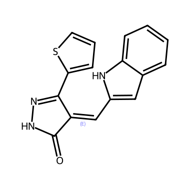 O=C1NN=C(c2cccs2)/C1=C\c1cc2ccccc2[nH]1